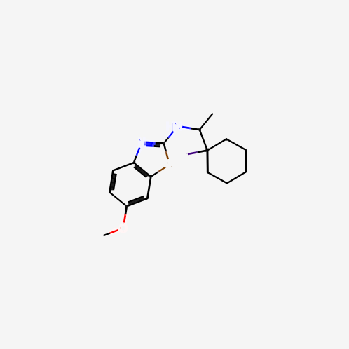 COc1ccc2nc(NC(C)C3(I)CCCCC3)sc2c1